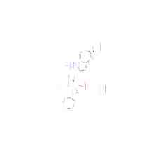 O=C(NC1CCc2ccccc2C1C(=O)O)c1cc2cc(Cl)ccc2[nH]1